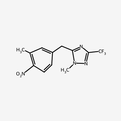 Cc1cc(Cc2nc(C(F)(F)F)nn2C)ccc1[N+](=O)[O-]